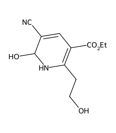 CCOC(=O)C1=C(CCO)NC(O)C(C#N)=C1